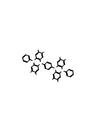 Cc1cc2c(cc1C)N(c1ccccc1)c1cc(C)c(C)cc1B2c1ccc(B2c3cc(C)c(C)cc3N(c3ccccc3)c3cc(C)c(C)cc32)cc1